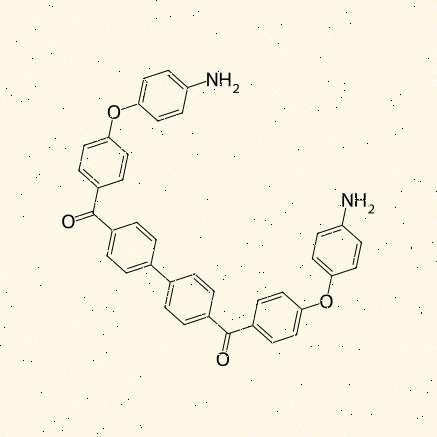 Nc1ccc(Oc2ccc(C(=O)c3ccc(-c4ccc(C(=O)c5ccc(Oc6ccc(N)cc6)cc5)cc4)cc3)cc2)cc1